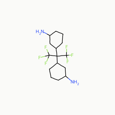 NC1CCCC(C(C2CCCC(N)C2)(C(F)(F)F)C(F)(F)F)C1